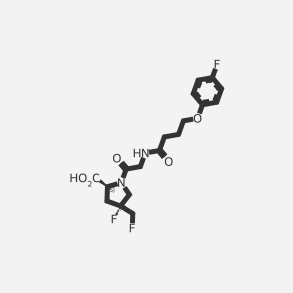 O=C(CCCOc1ccc(F)cc1)NCC(=O)N1C[C@@](F)(CF)C[C@H]1C(=O)O